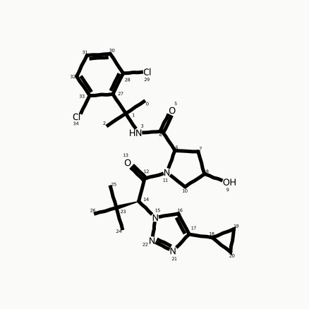 CC(C)(NC(=O)C1CC(O)CN1C(=O)[C@@H](n1cc(C2CC2)nn1)C(C)(C)C)c1c(Cl)cccc1Cl